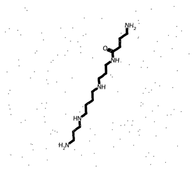 NCCCNCCCCNCCCNC(=O)CCCN